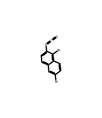 S=C=Nc1ccc2cc(Br)ccc2c1Br